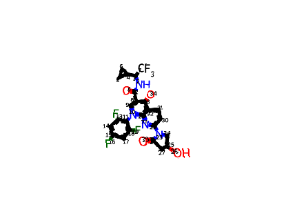 O=C(NC(C1CC1)C(F)(F)F)c1cn(-c2c(F)cc(F)cc2F)c2nc(N3CC(O)CC3=O)ccc2c1=O